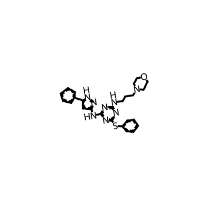 c1ccc(Sc2nc(NCCCN3CCOCC3)nc(Nc3cc(-c4ccccc4)[nH]n3)n2)cc1